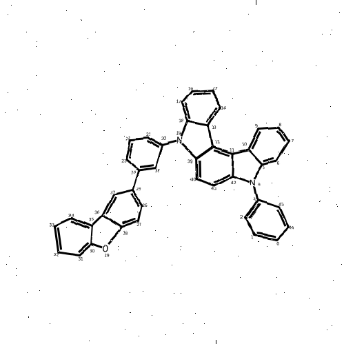 c1ccc(-n2c3ccccc3c3c4c5ccccc5n(-c5cccc(-c6ccc7oc8ccccc8c7c6)c5)c4ccc32)cc1